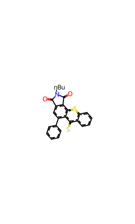 CCCCN1C(=O)c2cc(-c3ccccc3)c3c(=S)c4ccccc4sc3c2C1=O